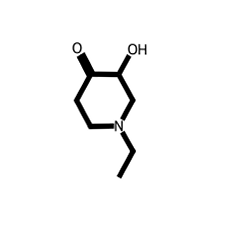 CCN1CCC(=O)C(O)C1